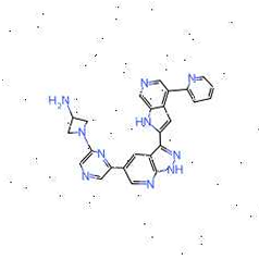 NC1CN(c2cncc(-c3cnc4[nH]nc(-c5cc6c(-c7ccccn7)cncc6[nH]5)c4c3)n2)C1